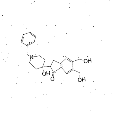 O=C1c2cc(CO)c(CO)cc2CC1C1(O)CCN(Cc2ccccc2)CC1